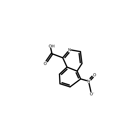 O=C(O)c1nccc2c([N+](=O)[O-])cccc12